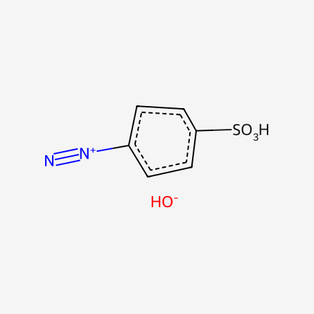 N#[N+]c1ccc(S(=O)(=O)O)cc1.[OH-]